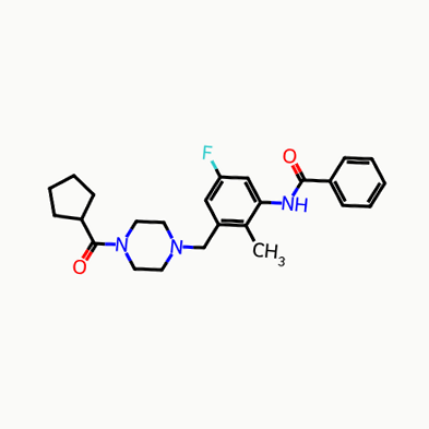 Cc1c(CN2CCN(C(=O)C3CCCC3)CC2)cc(F)cc1NC(=O)c1ccccc1